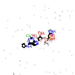 COC[C@](Cc1nn[nH]n1)(OC[C@H]1O[C@@H](n2ncc3c(NC4CCCC4)nc(Cl)nc32)[C@H](O)[C@@H]1O)P(=O)(O)O